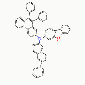 c1ccc(-c2ccc3cc(N(c4ccc5c(c4)oc4ccccc45)c4ccc5c(c4)c(-c4ccccc4)c(-c4ccccc4)c4ccccc45)ccc3c2)cc1